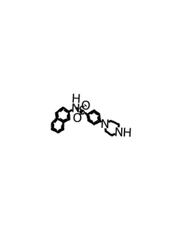 O=S(=O)(Nc1ccc2ccccc2c1)c1ccc(N2CCNCC2)cc1